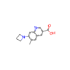 Cc1cc2cc(C(=O)O)cnc2cc1N1CCC1